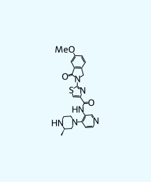 COc1ccc2c(c1)C(=O)N(c1nc(C(=O)Nc3cnccc3N3CCN[C@H](C)C3)cs1)C2